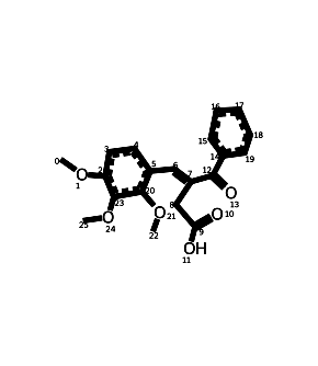 COc1ccc(/C=C(\CC(=O)O)C(=O)c2ccccc2)c(OC)c1OC